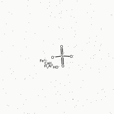 O=S(=O)([O-])[O-].[AlH3].[CaH2].[Fe+3].[OH-]